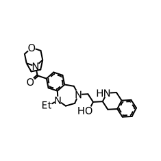 CCN1CCN(CC(O)C2Cc3ccccc3CN2)Cc2ccc(C(=O)N3C4CCC3COC4)cc21